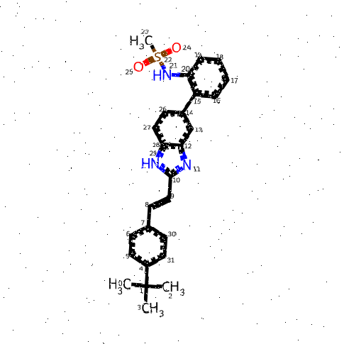 CC(C)(C)c1ccc(/C=C/c2nc3cc(-c4ccccc4NS(C)(=O)=O)ccc3[nH]2)cc1